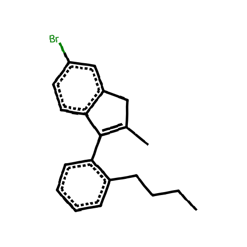 CCCCc1ccccc1C1=C(C)Cc2cc(Br)ccc21